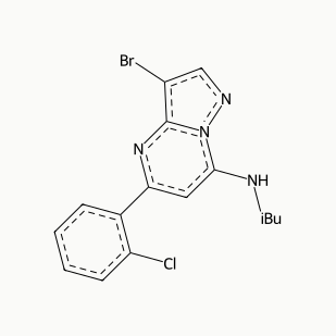 CCC(C)Nc1cc(-c2ccccc2Cl)nc2c(Br)cnn12